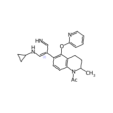 CC(=O)N1c2ccc(/C(C=N)=C/NC3CC3)c(Oc3ccccn3)c2CCC1C